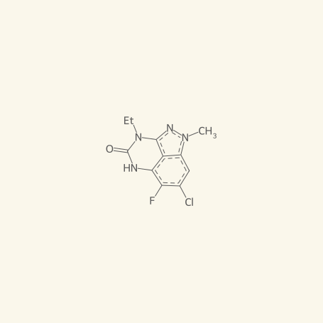 CCN1C(=O)Nc2c(F)c(Cl)cc3c2c1nn3C